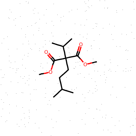 COC(=O)C(CCC(C)C)(C(=O)OC)C(C)C